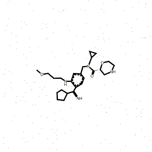 COCCCNc1cc(CN(C(=O)[C@H]2CNCCO2)C2CC2)ccc1C(=N)C1CCCC1